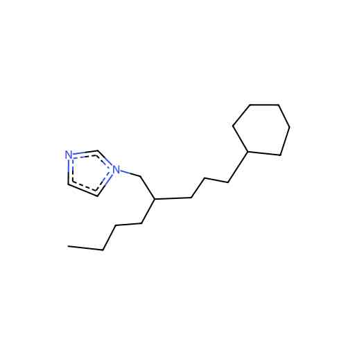 CCCCC(CCCC1CCCCC1)Cn1ccnc1